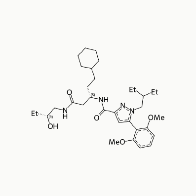 CCC(CC)Cn1nc(C(=O)N[C@@H](CCC2CCCCC2)CC(=O)NC[C@H](O)CC)cc1-c1c(OC)cccc1OC